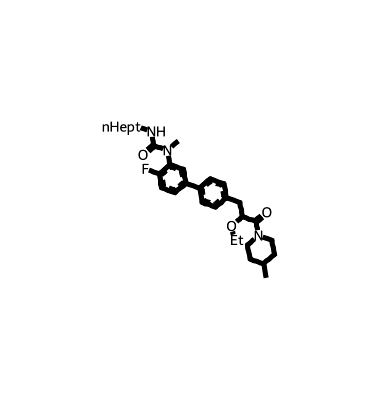 CCCCCCCNC(=O)N(C)c1cc(-c2ccc(CC(OCC)C(=O)N3CCC(C)CC3)cc2)ccc1F